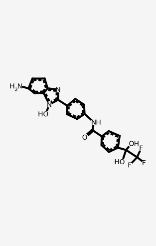 Nc1ccc2nc(-c3ccc(NC(=O)c4ccc(C(O)(O)C(F)(F)F)cc4)cc3)n(O)c2c1